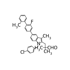 Cc1ccccc1-c1ccc(-c2ccc3c(c2)c(C)c(CC(C)(C)C=O)n3Cc2ccc(Cl)cc2)cc1F